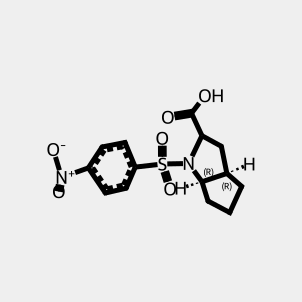 O=C(O)C1C[C@H]2CCC[C@H]2N1S(=O)(=O)c1ccc([N+](=O)[O-])cc1